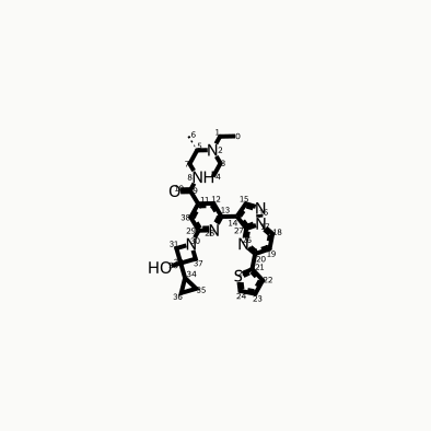 CCN(CC)[C@@H](C)CNC(=O)c1cc(-c2cnn3ccc(-c4cccs4)nc23)nc(N2CC(O)(C3CC3)C2)c1